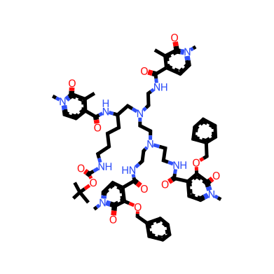 Cc1c(C(=O)NCCN(CCN(CCNC(=O)c2ccn(C)c(=O)c2OCc2ccccc2)CCNC(=O)c2ccn(C)c(=O)c2OCc2ccccc2)CC(CCCCNC(=O)OC(C)(C)C)NC(=O)c2ccn(C)c(=O)c2C)ccn(C)c1=O